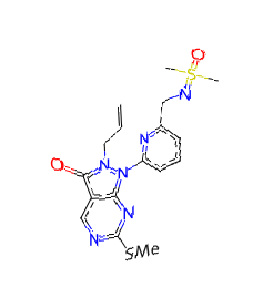 C=CCn1c(=O)c2cnc(SC)nc2n1-c1cccc(CN=S(C)(C)=O)n1